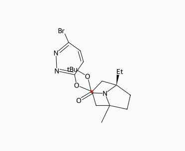 CC[C@]12CCC(C)(CC(Oc3ccc(Br)nn3)C1)N2C(=O)OC(C)(C)C